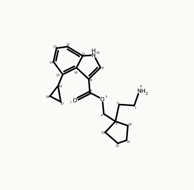 NCCC1(COC(=O)c2c[nH]c3cccc(C4CC4)c23)CCCC1